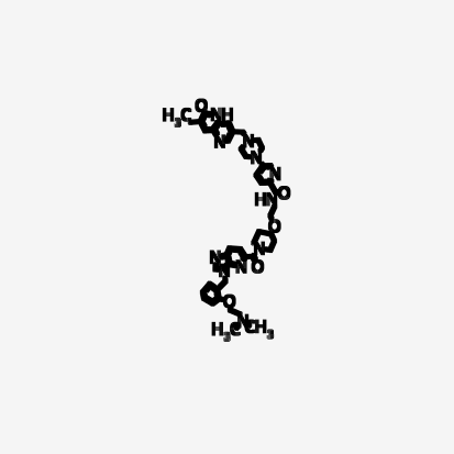 CCc1cc2ncc(CN3CCN(c4ccc(C(=O)NCCOC5CCN(C(=O)c6ccc7ncn(Cc8ccccc8OCCN(C)C)c7n6)CC5)nc4)CC3)cc2[nH]c1=O